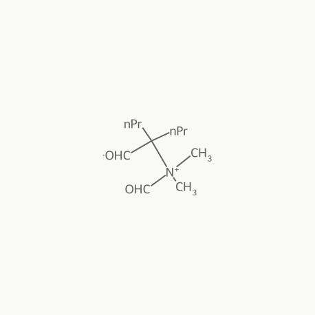 CCCC([C]=O)(CCC)[N+](C)(C)C=O